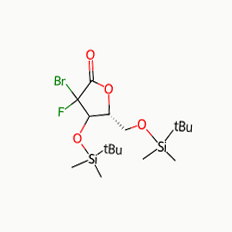 CC(C)(C)[Si](C)(C)OC[C@H]1OC(=O)C(F)(Br)C1O[Si](C)(C)C(C)(C)C